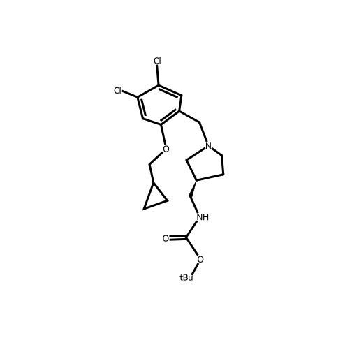 CC(C)(C)OC(=O)NC[C@@H]1CCN(Cc2cc(Cl)c(Cl)cc2OCC2CC2)C1